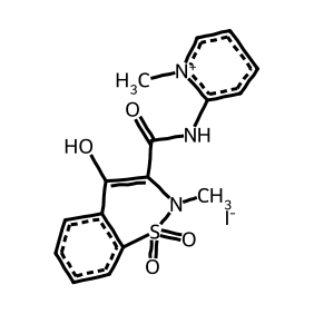 CN1C(C(=O)Nc2cccc[n+]2C)=C(O)c2ccccc2S1(=O)=O.[I-]